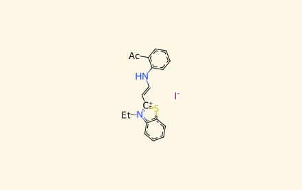 CCn1c2ccccc2s[c+]1C=CNc1ccccc1C(C)=O.[I-]